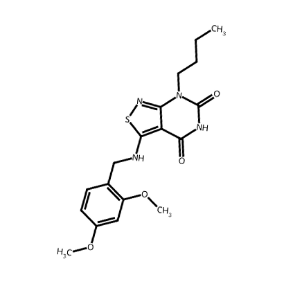 CCCCn1c(=O)[nH]c(=O)c2c(NCc3ccc(OC)cc3OC)snc21